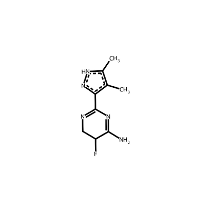 Cc1[nH]nc(C2=NCC(F)C(N)=N2)c1C